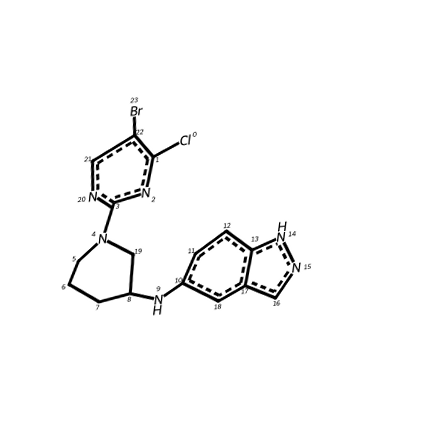 Clc1nc(N2CCCC(Nc3ccc4[nH]ncc4c3)C2)ncc1Br